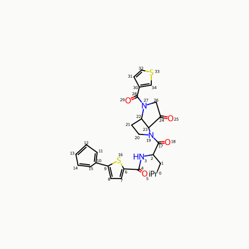 CC(C)CC(NC(=O)c1ccc(-c2ccccc2)s1)C(=O)N1CCC2C1C(=O)CN2C(=O)c1ccsc1